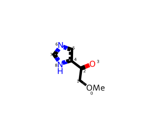 COCC(=O)c1cnc[nH]1